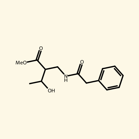 COC(=O)C(CNC(=O)Cc1ccccc1)C(C)O